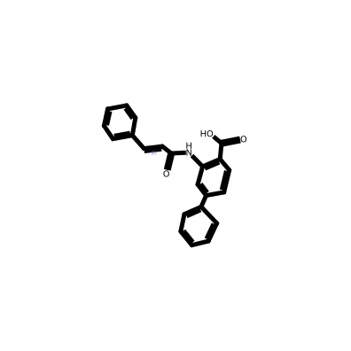 O=C(/C=C/c1ccccc1)Nc1cc(-c2ccccc2)ccc1C(=O)O